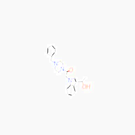 CC(O)c1cn(CC(=O)N2CCN(Cc3ccccc3)CC2)c2ccccc12